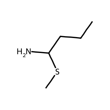 CCCC(N)SC